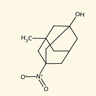 CC12CC3CC(O)(C1)CC([N+](=O)[O-])(C3)C2